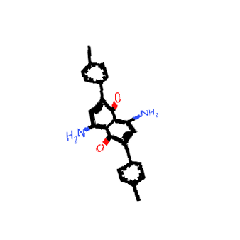 Cc1ccc(C2=CC(N)=C3C(=O)C(c4ccc(C)cc4)=CC(N)=C3C2=O)cc1